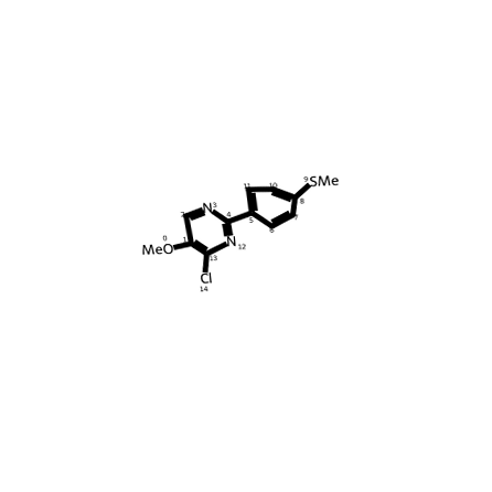 COc1cnc(-c2ccc(SC)cc2)nc1Cl